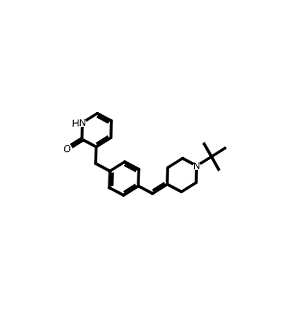 CC(C)(C)N1CCC(=Cc2ccc(Cc3ccc[nH]c3=O)cc2)CC1